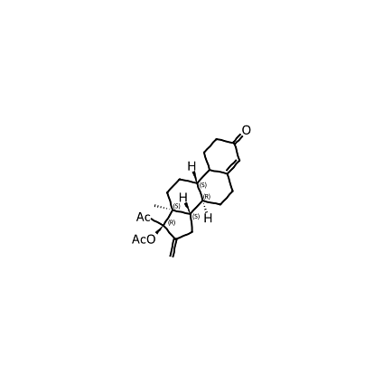 C=C1C[C@H]2[C@@H]3CCC4=CC(=O)CCC4[C@H]3CC[C@]2(C)[C@@]1(OC(C)=O)C(C)=O